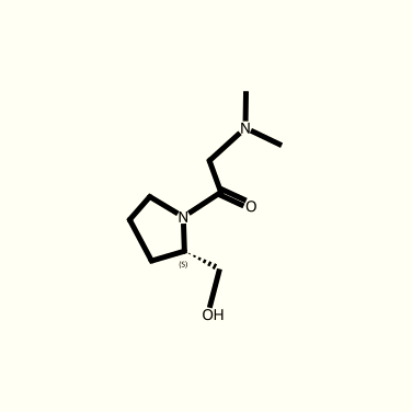 CN(C)CC(=O)N1CCC[C@H]1CO